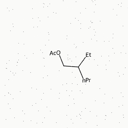 CCCC(CC)COC(C)=O